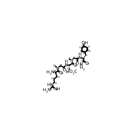 CN(CC(=O)N[C@@H](Cc1ccc(O)cc1)C(N)=O)C(=O)[C@H](CC(=O)O)NC(=O)CN(C)C(=O)[C@@H](N)CCCNC(=N)N